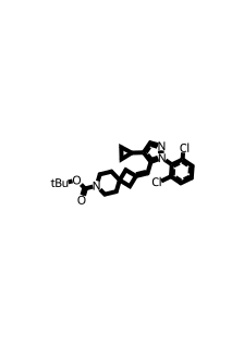 CC(C)(C)OC(=O)N1CCC2(CC1)CC(=Cc1c(C3CC3)cnn1-c1c(Cl)cccc1Cl)C2